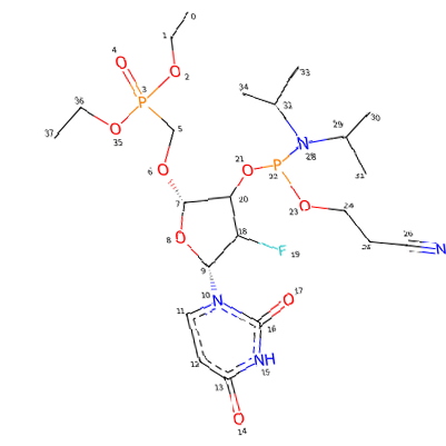 CCOP(=O)(CO[C@H]1O[C@@H](n2ccc(=O)[nH]c2=O)C(F)C1OP(OCCC#N)N(C(C)C)C(C)C)OCC